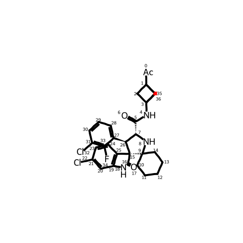 CC(=O)C12CC(NC(=O)[C@@H]3NC4(CCCCC4)[C@@]4(C(=O)Nc5cc(Cl)ccc54)[C@H]3c3cccc(Cl)c3F)(C1)C2